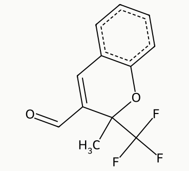 CC1(C(F)(F)F)Oc2ccccc2C=C1C=O